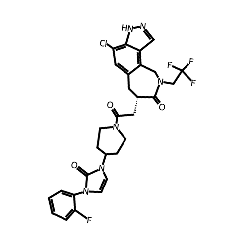 O=C(C[C@@H]1Cc2cc(Cl)c3[nH]ncc3c2CN(CC(F)(F)F)C1=O)N1CCC(n2ccn(-c3ccccc3F)c2=O)CC1